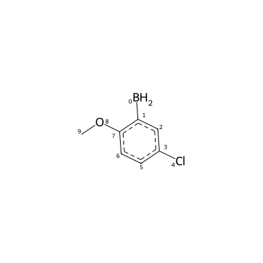 Bc1cc(Cl)ccc1OC